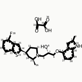 Cc1cc2c(OC[C@@H](O)CN3CC[C@H](c4cc5c(F)cccc5s4)C[C@@H]3C)cccc2[nH]1.O=C(O)C(=O)O